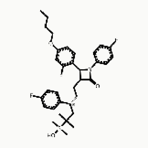 CCCCOc1ccc(C2C(CC[C@H](CC(C)(C)[Si](C)(C)O)c3ccc(F)cc3)C(=O)N2c2ccc(F)cc2)c(F)c1